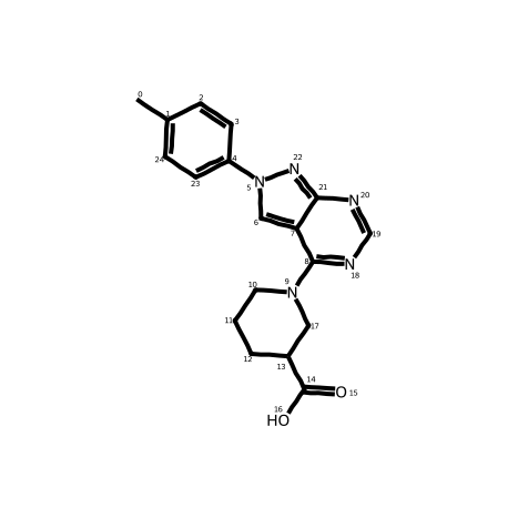 Cc1ccc(-n2cc3c(N4CCCC(C(=O)O)C4)ncnc3n2)cc1